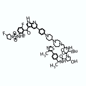 Cc1ncsc1-c1ccc(C(C)NC(=O)[C@@H]2C[C@@H](O)CN2C(=O)C(NC(=O)CN2CCCN(C3CCN(c4ccc(-c5cnc6[nH]cc(C(=O)c7c(F)ccc(NS(=O)(=O)N8CC[C@@H](F)C8)c7F)c6c5)cc4)CC3)CC2)C(C)(C)C)cc1